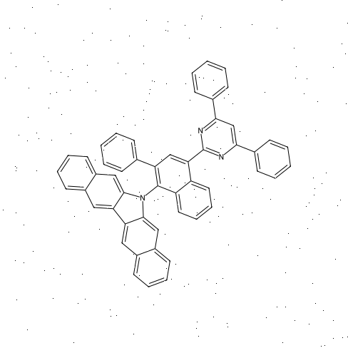 c1ccc(-c2cc(-c3ccccc3)nc(-c3cc(-c4ccccc4)c(-n4c5cc6ccccc6cc5c5cc6ccccc6cc54)c4ccccc34)n2)cc1